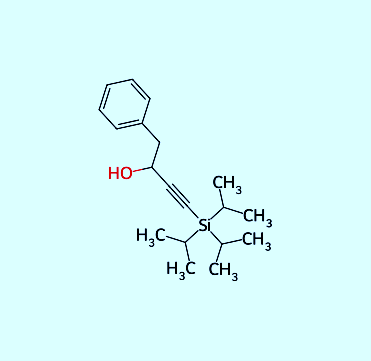 CC(C)[Si](C#CC(O)Cc1ccccc1)(C(C)C)C(C)C